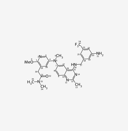 COc1ncc(N(C)c2ccc3nc(C)nc(NCc4cc(N)cc(C(F)(F)F)c4)c3c2)cc1CC(=O)N(C)C